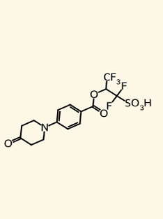 O=C1CCN(c2ccc(C(=O)OC(C(F)(F)F)C(F)(F)S(=O)(=O)O)cc2)CC1